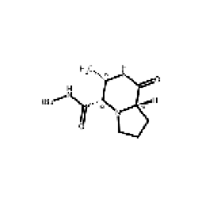 C[C@@H]1NC(=O)[C@@H]2CCCN2[C@@H]1C(=O)NC(C)(C)C